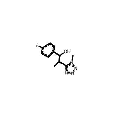 CC(c1nnnn1C)C(O)c1ccc(F)cc1